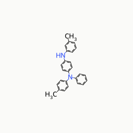 Cc1ccc(N(c2ccccc2)c2ccc(Nc3cccc(C)c3)cc2)cc1